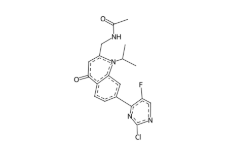 CC(=O)NCc1cc(=O)c2ccc(-c3nc(Cl)ncc3F)cc2n1C(C)C